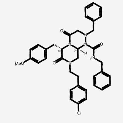 COc1ccc(C[C@H]2C(=O)N(CCc3ccc(Cl)cc3)C[C@H]3N2C(=O)CN(Cc2ccccc2)N3C(=O)NCc2ccccc2)cc1